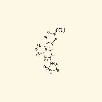 O=C(O)N1CCC(c2ncnc3cc(N4CCOC4=O)ccc23)CC1